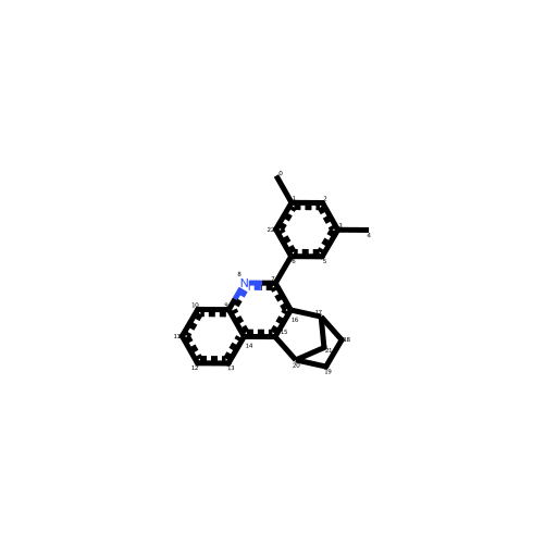 Cc1cc(C)cc(-c2nc3ccccc3c3c2C2CCC3C2)c1